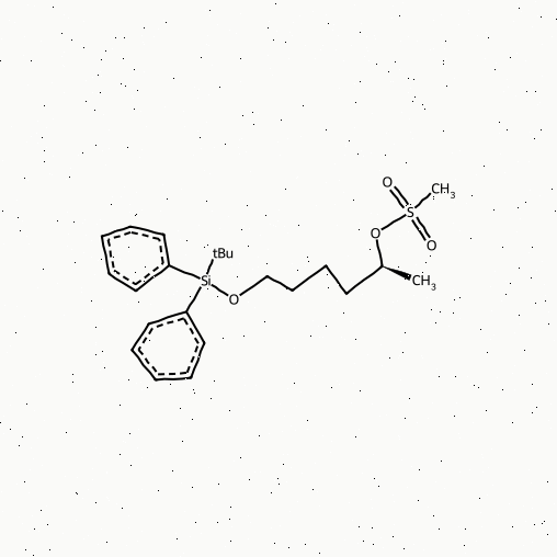 C[C@@H](CCCCO[Si](c1ccccc1)(c1ccccc1)C(C)(C)C)OS(C)(=O)=O